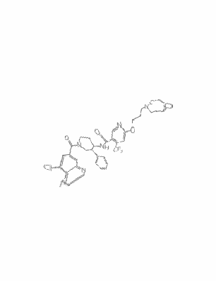 O=C(N[C@@H]1CCN(C(=O)c2cc(Cl)c3nccnc3c2)C[C@@H]1c1ccccc1)c1cnc(OCCCN2CCOCC2)cc1C(F)(F)F